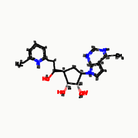 Cc1cccc(CC(O)[C@H]2C[C@@H](n3ccc4c(C)ncnc43)[C@H](O)[C@@H]2O)n1